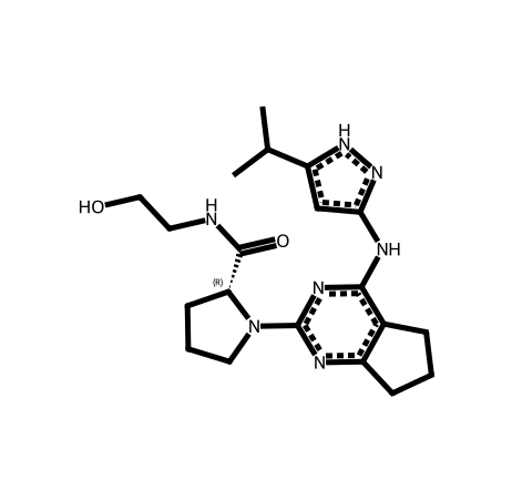 CC(C)c1cc(Nc2nc(N3CCC[C@@H]3C(=O)NCCO)nc3c2CCC3)n[nH]1